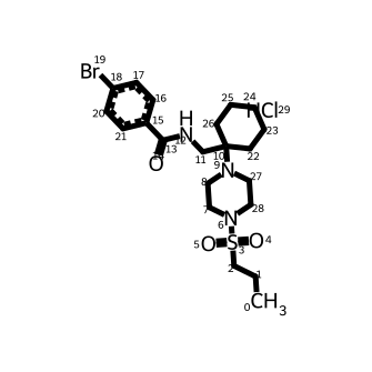 CCCS(=O)(=O)N1CCN(C2(CNC(=O)c3ccc(Br)cc3)CCCCC2)CC1.Cl